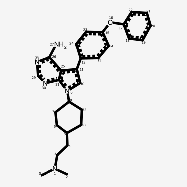 CN(C)CCC1CCC(n2cc(-c3ccc(Oc4ccccc4)cc3)c3c(N)ncnc32)CC1